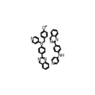 COc1ccc(CN(c2ccncc2)c2ccc(-c3ncc4ccccc4n3)cc2)cc1.c1ccc2nc(-c3ccc(Nc4ccncc4)cc3)ncc2c1